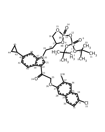 CC(C)(C)OP(=O)(OC(C)(C)C)O[P@]1(=O)OCC(CCn2cc(C(=O)COc3cc4ccc(Cl)cc4cc3I)c3ccc(C4CC4)cc32)O1